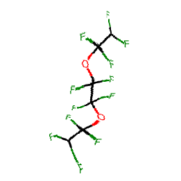 FC(F)C(F)(F)OC(F)(F)C(F)(F)OC(F)(F)C(F)F